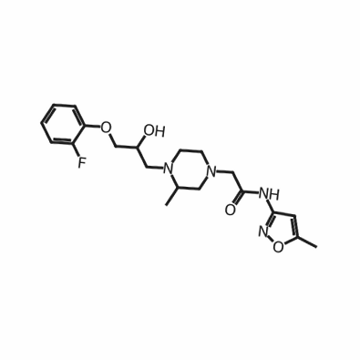 Cc1cc(NC(=O)CN2CCN(CC(O)COc3ccccc3F)C(C)C2)no1